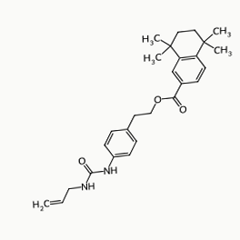 C=CCNC(=O)Nc1ccc(CCOC(=O)c2ccc3c(c2)C(C)(C)CCC3(C)C)cc1